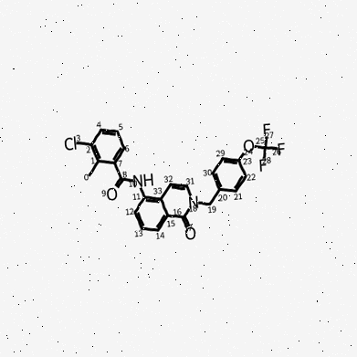 Cc1c(Cl)cccc1C(=O)Nc1cccc2c(=O)n(Cc3ccc(OC(F)(F)F)cc3)ccc12